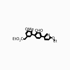 CCOC(=O)Cc1ccc(OC)c(-c2ccc(-c3ccc(OCC)nc3)cc2C=O)c1